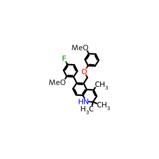 COc1cccc(OCc2c(-c3ccc(F)cc3OC)ccc3c2C(C)=CC(C)(C)N3)c1